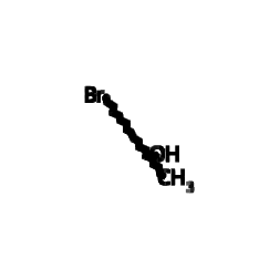 CCCCC(O)C=CCCCCCCCCCCCCBr